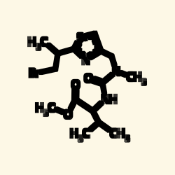 COC(=O)C(NC(=O)N(C)Cc1csc(C(C)CBr)n1)C(C)C